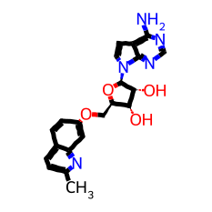 Cc1ccc2ccc(OC[C@H]3O[C@@H](n4ccc5c(N)ncnc54)[C@H](O)[C@@H]3O)cc2n1